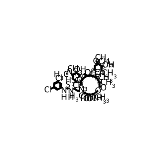 COC1(C)C[C@@H](C[C@H]2[C@H](C)[C@@H](C)[C@@H](C)C(=O)OC(C)C(C)(O)[C@H](O)[C@@H](C)N(CCNC(=S)Nc3cc(Cl)cc(Cl)c3)C[C@@H](C)CC2(O)C[C@@H]2O[C@H](C)C[C@H](N(C)C)[C@@H]2O)O[C@@H](C)[C@H]1O